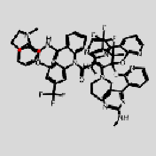 CNc1nccc(-c2cccnc2OC2(Oc3ncccc3-c3ccnc(NC)n3)C(N3CCCCC3)=C(C(=O)N(c3cc(OC[C@H]4CCCN4C)cc(C(F)(F)F)c3)c3ccccc3C(=O)Nc3ccccc3)C=C(C(F)(F)F)C2(C)C)n1